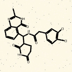 Cc1nc2cccc(C(NC(=O)Cc3ccc(Cl)c(Cl)c3)C3CCC(=O)NC3=O)c2c(=O)[nH]1